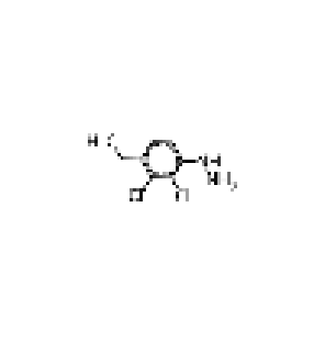 CCc1ccc(NN)c(Cl)c1Cl